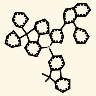 CC1(C)c2ccccc2-c2ccc(N(c3ccc(-c4ccc5ccccc5c4-c4ccccc4)cc3)c3cccc4c3-c3ccccc3C4(c3ccccc3)c3ccccc3)cc21